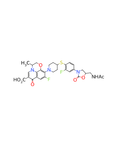 CC(=O)NCC1CN(c2ccc(SC3CCN(c4c(F)cc5c(=O)c(C(=O)O)cn6c5c4OCC6C)CC3)c(F)c2)C(=O)O1